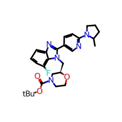 CC1CCCN1c1ccc(-c2nc3cccc(F)c3n2C[C@@H]2CN(C(=O)OC(C)(C)C)CCO2)cn1